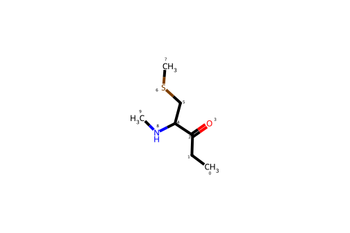 CCC(=O)C(CSC)NC